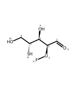 O=C[C@@H](OF)[C@H](O)[C@H](S)CO